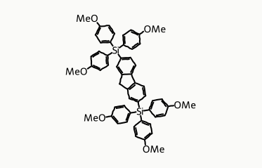 COc1ccc([Si](c2ccc(OC)cc2)(c2ccc(OC)cc2)c2ccc3c(c2)Cc2cc([Si](c4ccc(OC)cc4)(c4ccc(OC)cc4)c4ccc(OC)cc4)ccc2-3)cc1